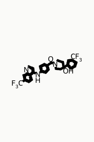 O=C(c1ccc(Nc2ccnc3cc(C(F)(F)F)ccc23)cc1)N1CCC(O)(c2cccc(C(F)(F)F)c2)CC1